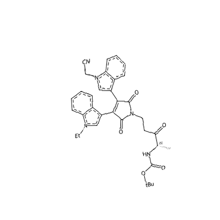 CCn1cc(C2=C(c3cn(CC#N)c4ccccc34)C(=O)N(CCC(=O)[C@H](C)NC(=O)OC(C)(C)C)C2=O)c2ccccc21